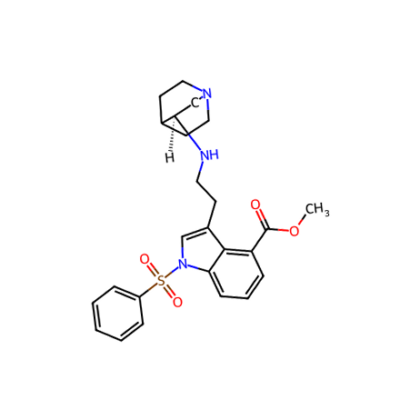 COC(=O)c1cccc2c1c(CCN[C@@H]1CN3CCC1CC3)cn2S(=O)(=O)c1ccccc1